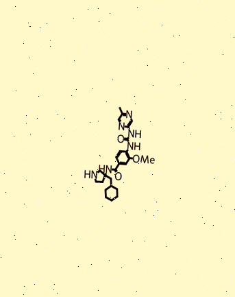 COc1cc(C(=O)NC2(CC3CCCCC3)CCNC2)ccc1NC(=O)Nc1cnc(C)cn1